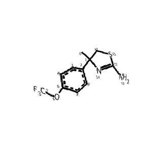 CC1(c2ccc(OC(F)(F)F)cc2)CSC(N)=N1